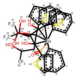 O=[P][Eu]([c]1ccccc1)([c]1ccccc1)([c]1ccccc1)([C](O)(CC(O)C(F)(F)F)c1cccs1)([C](O)(CC(O)C(F)(F)F)c1cccs1)[C](O)(CC(O)C(F)(F)F)c1cccs1